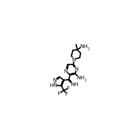 CC1(N)CCN(c2cnc(C(=N)c3cn[nH]c3C(F)(F)F)c(N)n2)CC1